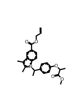 C=CCOC(=O)c1ccc2c(c1)c(C)c(C)n2C(C)c1ccc(OC(C)C(=O)OC)cc1